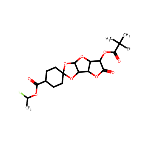 CCC(C)(C)C(=O)OC1C(=O)OC2C3OC4(CCC(C(=O)OC(F)C(F)(F)F)CC4)OC3OC12